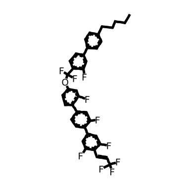 CCCCCc1ccc(-c2ccc(C(F)(F)Oc3ccc(-c4ccc(-c5cc(F)c(/C=C/C(F)(F)F)c(F)c5)c(F)c4)c(F)c3)c(F)c2)cc1